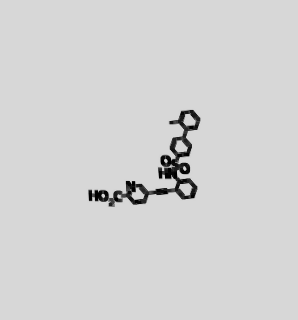 Cc1ccccc1-c1ccc(S(=O)(=O)Nc2ccccc2C#Cc2ccc(C(=O)O)nc2)cc1